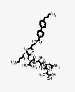 CCCCc1ccc(-c2ccc(C(=O)NCCC(=O)N[C@@H](CCCCN)C(=O)N[C@H](C(=O)N[C@@H](N)C(=O)N[C@@H](CC(N)=O)C(=O)N[C@@H](C)B(O)O)C(C)O)cc2)cc1